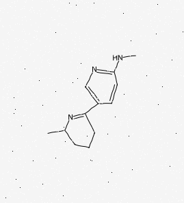 CNc1ccc(C2=NC(C)CCC2)cn1